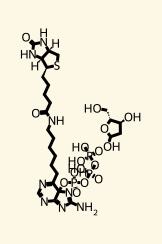 NC1=NC2(OP(=O)(O)OP(=O)(O)OP(=O)(O)O)C(CCCCCCNC(=O)CCCC[C@@H]3SC[C@@H]4NC(=O)N[C@@H]43)=NC=NC2=N1.OC[C@H]1OC(O)C[C@@H]1O